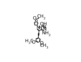 C=CC(=O)N1CC[C@H](n2cc(C#Cc3cc(OC)cc(OC)c3)c3c(N)nnc(O)[n+]32)C1